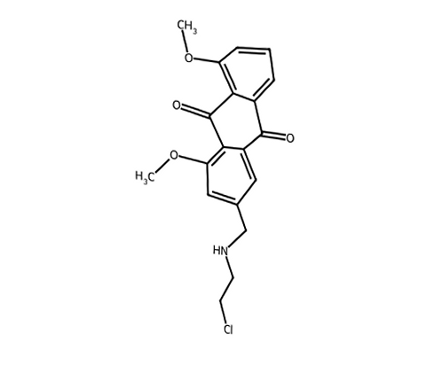 COc1cccc2c1C(=O)c1c(OC)cc(CNCCCl)cc1C2=O